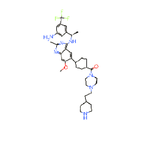 COc1cc2nc(C)nc(N[C@H](C)c3cc(N)cc(C(F)(F)F)c3)c2cc1C1CCC(C(=O)N2CCN(CCC3CCNCC3)CC2)CC1